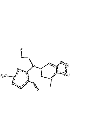 C=Nc1ccc(C(F)(F)F)nc1N(CCF)C1C=c2cn[nH]c2=C(C)C1